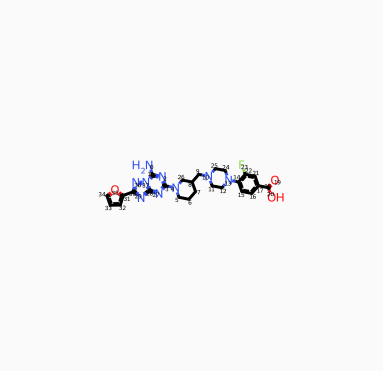 Nc1nc(N2CCCC(CN3CCN(c4ccc(C(=O)O)cc4F)CC3)C2)nc2nc(-c3ccco3)nn12